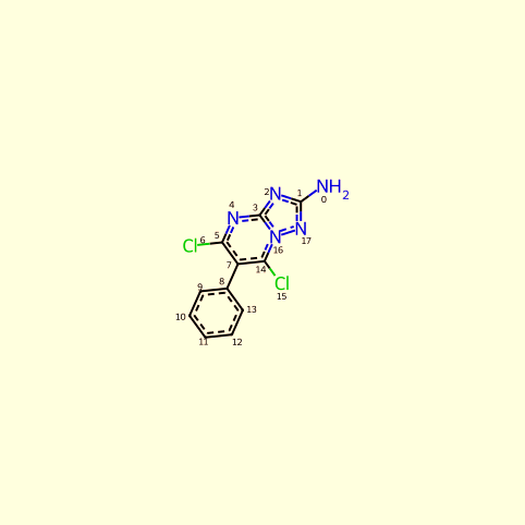 Nc1nc2nc(Cl)c(-c3ccccc3)c(Cl)n2n1